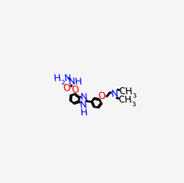 CCN(CC)CCOc1cccc(-c2nc3c(OC(=O)NN)cccc3[nH]2)c1